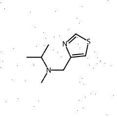 CC(C)N(C)Cc1cscn1